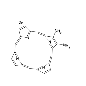 NC1=C(N)C2=NC1=CC1=NC(=CC3=NC(=CC4=NC(=C2)C=C4)C=C3)C=C1.[Zn]